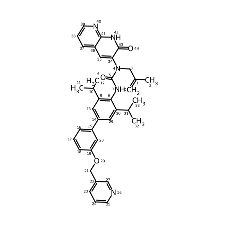 C=C(C)CN(C(=O)Nc1c(C(C)C)cc(-c2cccc(OCc3cccnc3)c2)cc1C(C)C)c1cc2cccnc2[nH]c1=O